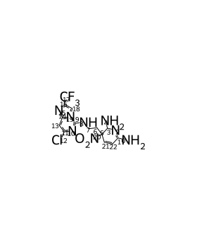 NC1=NC(N)C(CCNc2nc(Cl)cc3nc(C(F)(F)F)cn23)([N+](=O)[O-])C=C1